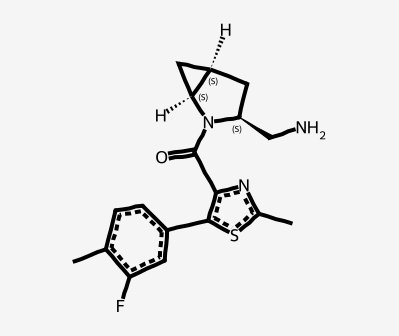 Cc1nc(C(=O)N2[C@H](CN)C[C@@H]3C[C@@H]32)c(-c2ccc(C)c(F)c2)s1